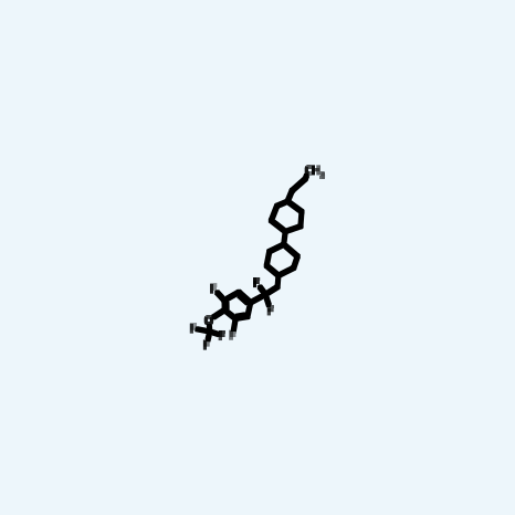 CCCC1CCC(C2CCC(CC(F)(F)c3cc(F)c(OC(F)(F)F)c(F)c3)CC2)CC1